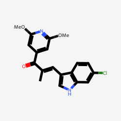 COc1cc(C(=O)/C(C)=C/c2c[nH]c3cc(Cl)ccc23)cc(OC)n1